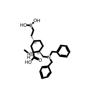 CN[C@]1(C(=O)O)C[C@H](CCB(O)O)CC[C@H]1CN(Cc1ccccc1)Cc1ccccc1